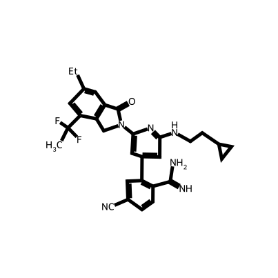 CCc1cc2c(c(C(C)(F)F)c1)CN(c1cc(-c3cc(C#N)ccc3C(=N)N)cc(NCCC3CC3)n1)C2=O